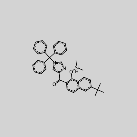 C[SiH](C)Oc1c(C(=O)c2cn(C(c3ccccc3)(c3ccccc3)c3ccccc3)cn2)ccc2cc(C(C)(C)C)ccc12